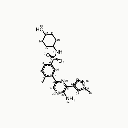 Cc1ccc(S(=O)(=O)NC2CCC(O)CC2)cc1-c1cnc(N)c(-c2cnn(C)c2)n1